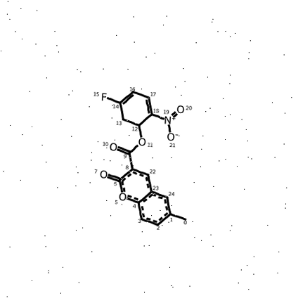 Cc1ccc2oc(=O)c(C(=O)OC3CC(F)=CC=C3[N+](=O)[O-])cc2c1